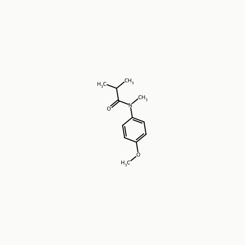 COc1ccc(N(C)C(=O)C(C)C)cc1